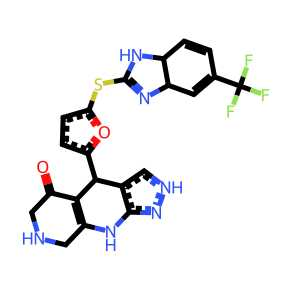 O=C1CNCC2=C1C(c1ccc(SC3=NC4C=C(C(F)(F)F)C=CC4N3)o1)c1c[nH]nc1N2